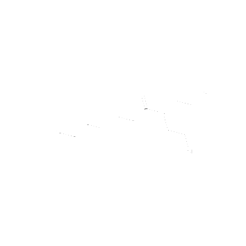 NCCN(CCN)C(=O)CCOCCNC(=O)O